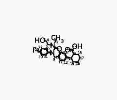 CCN(CCO)C(=O)N(Cc1ccc(C2CCCCC2C(=O)O)cc1)c1ccc(F)cc1